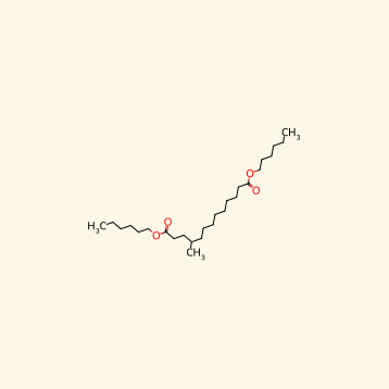 CCCCCCOC(=O)CCCCCCCCC(C)CCC(=O)OCCCCCC